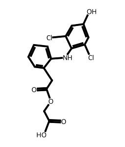 O=C(O)COC(=O)Cc1ccccc1Nc1c(Cl)cc(O)cc1Cl